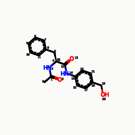 CC(=O)N[C@@H](Cc1ccccc1)C(=O)Nc1ccc(CO)cc1